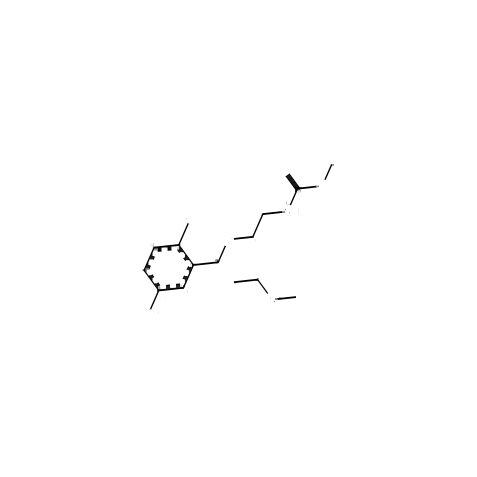 CNCC[C@@H](OCCNC(=O)OC)c1cc(Cl)ccc1C